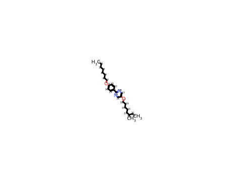 CCCCCCCCOc1ccc(-c2ncc(OCCCCCC(C)CC)cn2)cc1